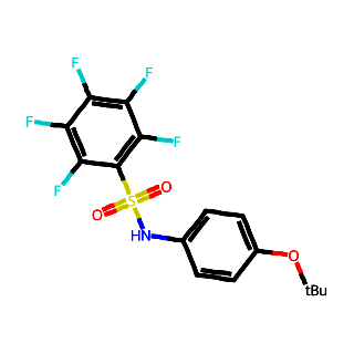 CC(C)(C)Oc1ccc(NS(=O)(=O)c2c(F)c(F)c(F)c(F)c2F)cc1